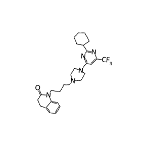 O=C1CCc2ccccc2N1CCCCN1CCN(c2cc(C(F)(F)F)nc(C3CCCCC3)n2)CC1